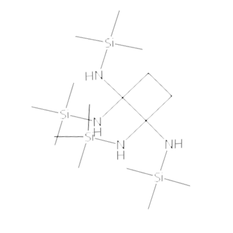 C[Si](C)(C)NC1(N[Si](C)(C)C)CCC1(N[Si](C)(C)C)N[Si](C)(C)C